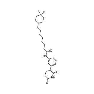 O=C1CCC(c2cccc(NC(=O)CCCCCCCN3CCC(F)(F)CC3)c2)C(=O)N1